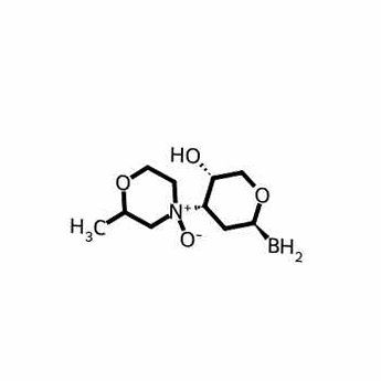 B[C@H]1C[C@H]([N+]2([O-])CCOC(C)C2)[C@H](O)CO1